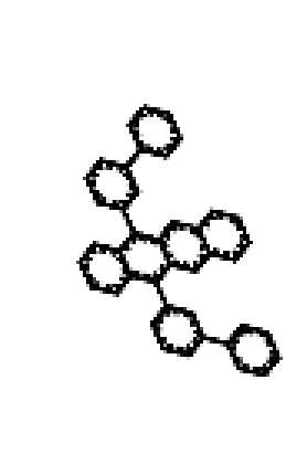 c1ccc(-c2cccc(-c3c4ccccc4c(-c4cccc(-c5ccccc5)c4)c4cc5ccccc5cc34)c2)cc1